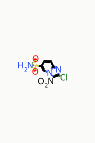 NS(=O)(=O)c1ccc2nc(Cl)c([N+](=O)[O-])n2c1